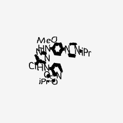 COc1cc(N2CCN(C(C)C)CC2)ccc1Nc1ncc(Cl)c(Nc2cccnc2S(=O)(=O)C(C)C)n1